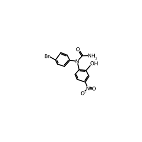 NC(=O)N(c1ccc(Br)cc1)c1ccc([N+](=O)[O-])cc1O